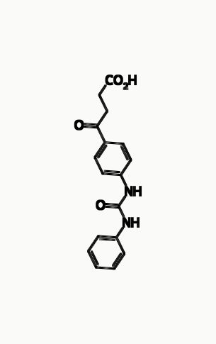 O=C(O)CCC(=O)c1ccc(NC(=O)Nc2ccccc2)cc1